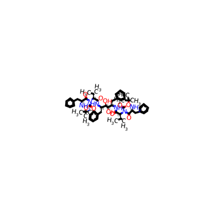 CC(C)[C@@H](C(=O)N[C@H](Cc1ccccc1)[C@H](O)[C@H](O)[C@@H](Cc1ccccc1)NC(=O)[C@H](C(C)C)N(C(=O)OC(C)(C)C)C(=O)[C@@H](N)Cc1ccccc1)N(C(=O)OC(C)(C)C)C(=O)[C@@H](N)Cc1ccccc1